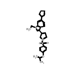 CCn1cc(C2CCN(S(=O)(=O)c3ccc(OC(C)C)cc3)C2)c2ccc(C3CCCC3)cc21